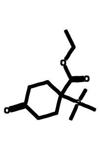 CCOC(=O)C1([Si](C)(C)C)CCC(=O)CC1